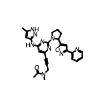 CC(=O)N(C)CC#Cc1cc(Nc2cc(C)[nH]n2)nc(N2CCCC2c2cc(-c3ccccn3)no2)n1